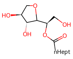 CCCCCCCC(=O)O[C@H](CO)C1OC[C@H](O)[C@H]1O